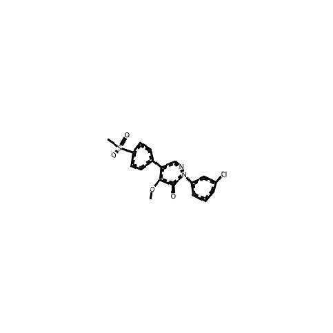 COc1c(-c2ccc(S(C)(=O)=O)cc2)cnn(-c2cccc(Cl)c2)c1=O